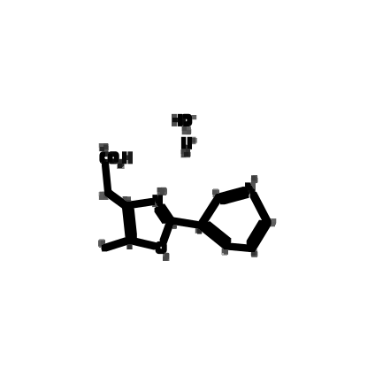 Cc1oc(-c2cccnc2)nc1CC(=O)O.[Li+].[OH-]